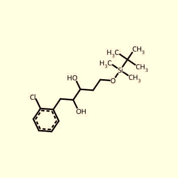 CC(C)(C)[Si](C)(C)OCCC(O)C(O)Cc1ccccc1Cl